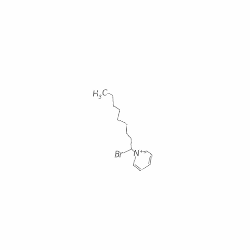 CCCCCCCCC(Br)[n+]1ccccc1